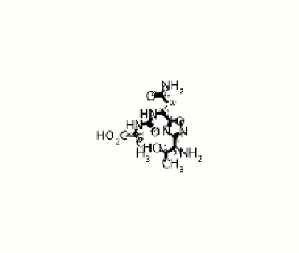 CC(O)[C@@H](N)c1noc([C@@H](CC(N)=O)NC(=O)N[C@H](C)C(=O)O)n1